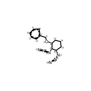 [N-]=[N+]=N[C@H]1[C@@H](OCc2ccccc2)CCC[C@H]1N=[N+]=[N-]